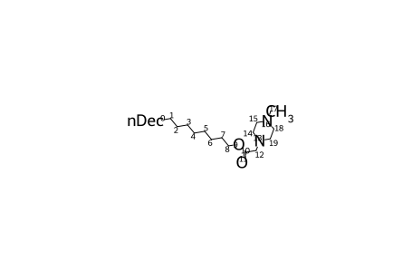 CCCCCCCCCCCCCCCCCCOC(=O)CN1CCN(C)CC1